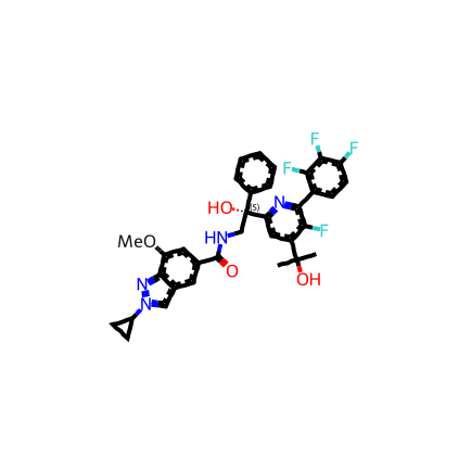 COc1cc(C(=O)NC[C@@](O)(c2ccccc2)c2cc(C(C)(C)O)c(F)c(-c3ccc(F)c(F)c3F)n2)cc2cn(C3CC3)nc12